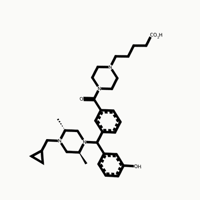 C[C@@H]1CN(C(c2cccc(O)c2)c2cccc(C(=O)N3CCN(CCCCC(=O)O)CC3)c2)[C@@H](C)CN1CC1CC1